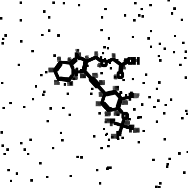 O=C(O)COCc1nc2ccccn2c1C#Cc1ccc(OC(F)(F)F)c(F)c1